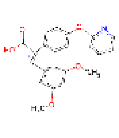 COc1cc(/C=C(/C(=O)O)c2ccc(Oc3ccccn3)cc2)cc(OC)c1